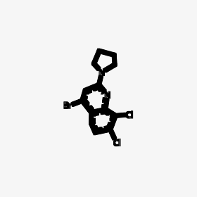 Clc1ccc2c(Br)cc(N3CCCC3)nc2c1Cl